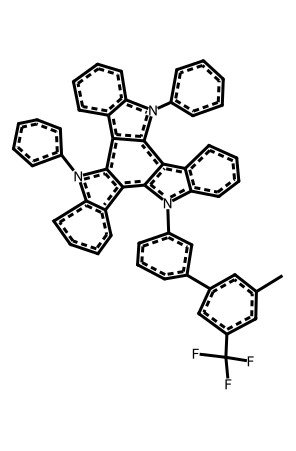 Cc1cc(-c2cccc(-n3c4ccccc4c4c5c(c6ccccc6n5-c5ccccc5)c5c(c6ccccc6n5-c5ccccc5)c43)c2)cc(C(F)(F)F)c1